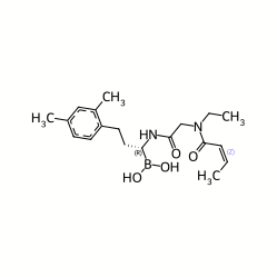 C/C=C\C(=O)N(CC)CC(=O)N[C@@H](CCc1ccc(C)cc1C)B(O)O